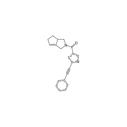 O=C(c1cnc(C#Cc2ccccc2)s1)N1CC2=CCCC2C1